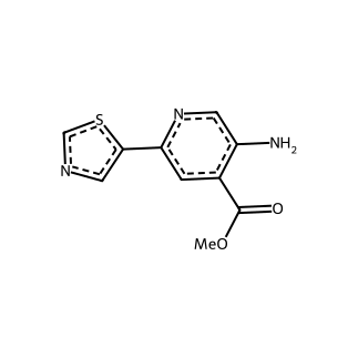 COC(=O)c1cc(-c2cncs2)ncc1N